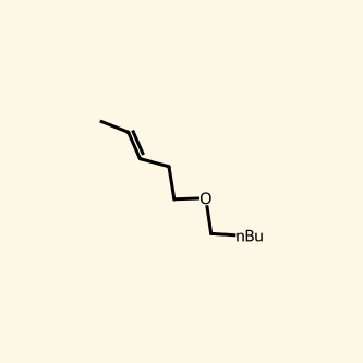 [CH2]CCCCOCCC=CC